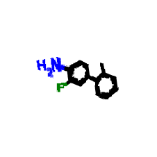 Cc1ccccc1-c1ccc(N)c(F)c1